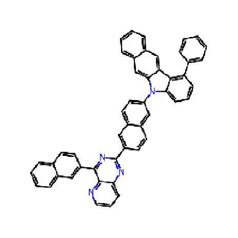 c1ccc(-c2cccc3c2c2cc4ccccc4cc2n3-c2ccc3cc(-c4nc(-c5ccc6ccccc6c5)c5ncccc5n4)ccc3c2)cc1